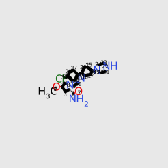 CO[C@@H]1C[C@@H](C(N)=O)[N+](CC#N)(c2cc(-c3ccc(N4CCNCC4)cc3)ccc2Cl)C1